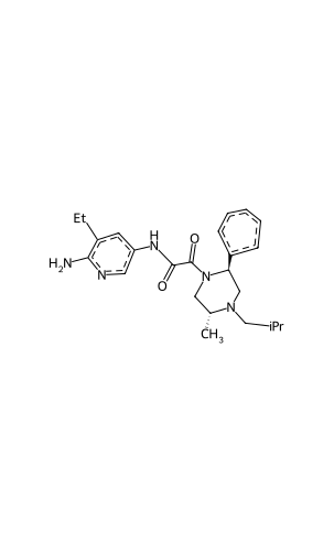 CCc1cc(NC(=O)C(=O)N2C[C@@H](C)N(CC(C)C)C[C@@H]2c2ccccc2)cnc1N